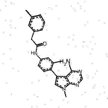 Cc1cccc(CC(=O)Nc2ccc(-c3cn(C)c4ncnc(N)c34)c(C)c2)c1